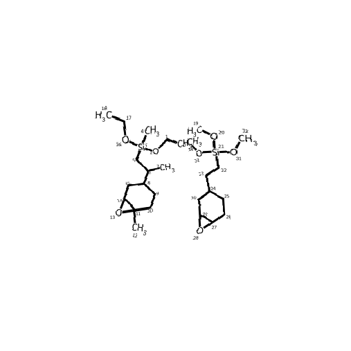 CCO[Si](C)(CC(C)C1CCC2(C)OC2C1)OCC.CO[Si](CCC1CCC2OC2C1)(OC)OC